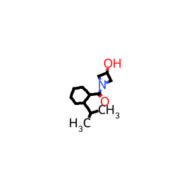 CC(C)C1CCCCC1C(=O)N1CC(O)C1